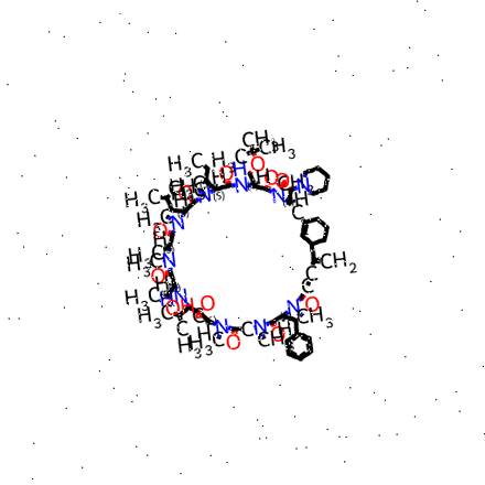 C=C1CCC(=O)N(C)[C@@H](Cc2ccccc2)C(=O)N(C)CC(=O)N(C)[C@H]2CC(C(C)C)(N[C@@H]([C@@H](C)O)C(=O)N(C)[C@@H](C)C(=O)N(C)[C@@H](CC(C)C)C(=O)N(C)[C@@H]([C@@H](C)CC)C(=O)N[C@@H](COC(C)(C)C)C(=O)N(C)[C@H](C(=O)N3CCCCC3)CC3=CC1CCC3)C2=O